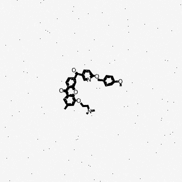 COc1ccc(COc2ccc(C(=O)c3ccc4c(=O)c5cc(C)cc(OCCN(C)C)c5oc4c3)cn2)cc1